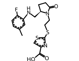 Cc1ccc(F)c(NC[C@H]2CCC(=O)N2CCSc2nc(C(=O)O)cs2)c1